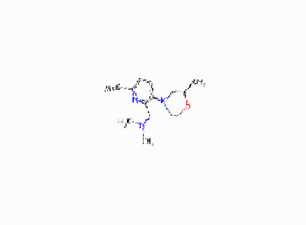 CSc1ccc(N2CCO[C@H](C)C2)c(CN(C)C)n1